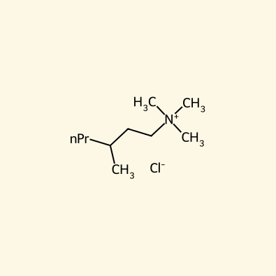 CCCC(C)CC[N+](C)(C)C.[Cl-]